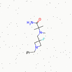 CC(C)CN1CC(F)(CN(C)C(C)(C)C(N)=O)C1